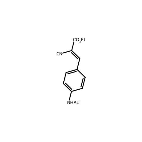 [C-]#[N+]/C(=C\c1ccc(NC(C)=O)cc1)C(=O)OCC